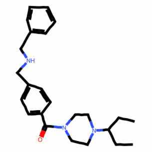 CCC(CC)N1CCN(C(=O)c2ccc(CNCc3ccccc3)cc2)CC1